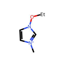 CCOn1cc[n+](C)c1